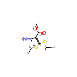 CCSC(SCC)=C(C#N)C(=O)OC